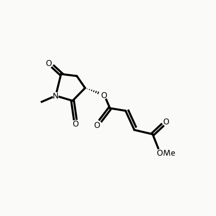 COC(=O)/C=C/C(=O)O[C@H]1CC(=O)N(C)C1=O